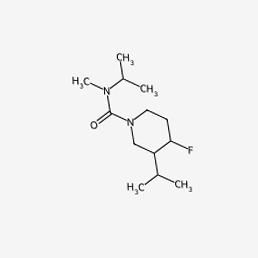 CC(C)C1CN(C(=O)N(C)C(C)C)CCC1F